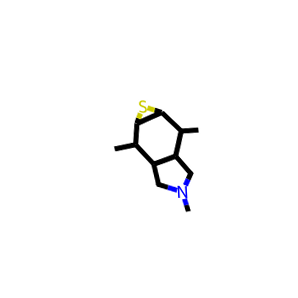 CC1C2CN(C)CC2C(C)C2SC12